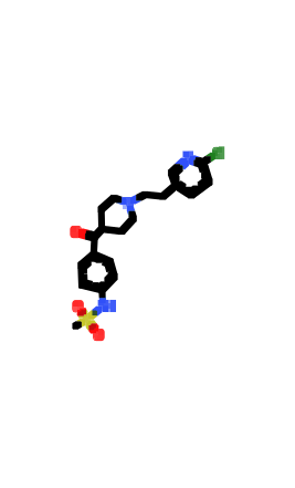 CS(=O)(=O)Nc1ccc(C(=O)C2CCN(CCc3ccc(Cl)nc3)CC2)cc1